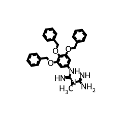 CN(C(=N)N)C(=N)Nc1cc(OCc2ccccc2)c(OCc2ccccc2)c(OCc2ccccc2)c1